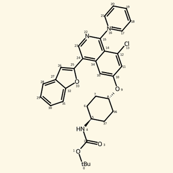 CC(C)(C)OC(=O)N[C@H]1CC[C@H](Oc2cc(Cl)c3c(-[n+]4ccccc4)ncc(-c4cc5ccccc5o4)c3c2)CC1